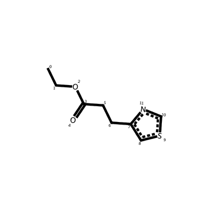 CCOC(=O)CCc1cscn1